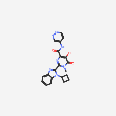 Cn1c(-c2nc3ccccc3n2C2CCC2)nc(C(=O)Nc2ccnnc2)c(O)c1=O